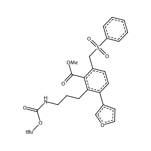 COC(=O)c1c(CS(=O)(=O)c2ccccc2)ccc(-c2ccoc2)c1CCCNC(=O)OC(C)(C)C